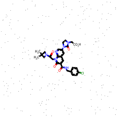 CC1(C)CN(C(=O)Cn2c(=O)c(C(=O)NCc3ccc(Cl)cc3)cc3cc(N4CCN(CC(=O)O)C4=O)cnc32)C1